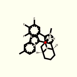 Cc1ccn2c(C(=O)N3[C@H]4CCC[C@@H]3c3nn(C)c(-c5cc(F)c(F)c(F)c5)c3C4)c(C)nc2c1